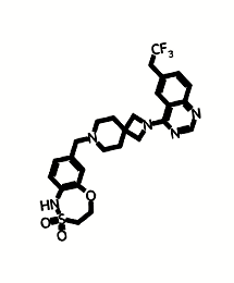 O=S1(=O)CCOc2cc(CN3CCC4(CC3)CN(c3ncnc5ccc(CC(F)(F)F)cc35)C4)ccc2N1